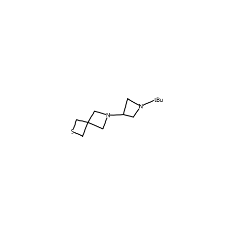 CC(C)(C)N1CC(N2CC3(CSC3)C2)C1